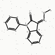 CON=C1C(=O)N(c2ccccc2)c2ccccc21